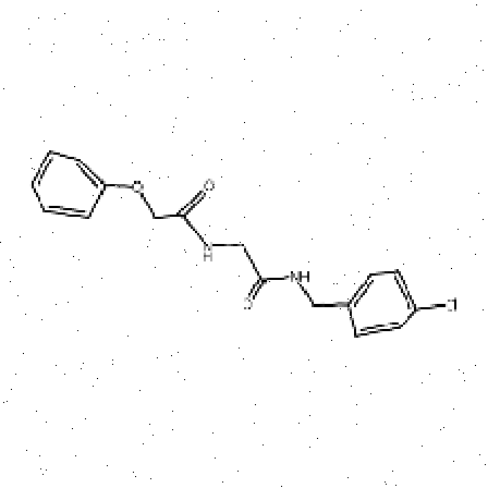 O=C(CNC(=O)COc1ccccc1)NCc1ccc(Cl)cc1